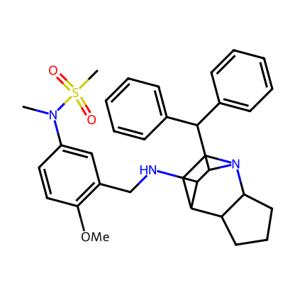 COc1ccc(N(C)S(C)(=O)=O)cc1CNC1C2CCN(C3CCCC23)C1C(c1ccccc1)c1ccccc1